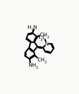 Cc1c(N)ccc2c1C(=C1C=CC=CN1C)c1c-2ccc(N)c1C